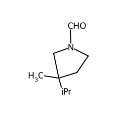 CC(C)C1(C)CCN(C=O)C1